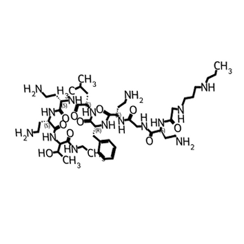 CCCNCCCNCC(=O)N[C@@H](CCN)C(=O)NCC(=O)N[C@@H](CCN)C(=O)N[C@H](Cc1ccccc1)C(=O)N[C@@H](CC(C)C)C(=O)N[C@@H](CCN)C(=O)N[C@@H](CCN)C(=O)NC(C(=O)NCC)C(C)O